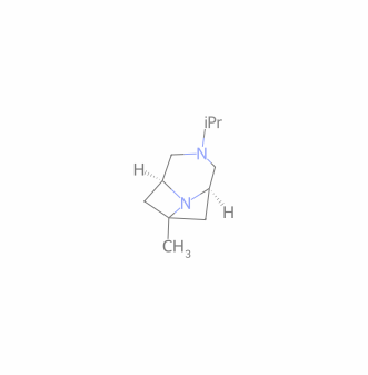 CC(C)N1C[C@@H]2CC3(C)C[C@H](C1)N23